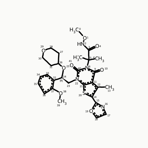 CONC(=O)C(C)(C)n1c(=O)c2c(C)c(-c3ncco3)sc2n(C[C@H](OC2CCOCC2)c2ccccc2OC)c1=O